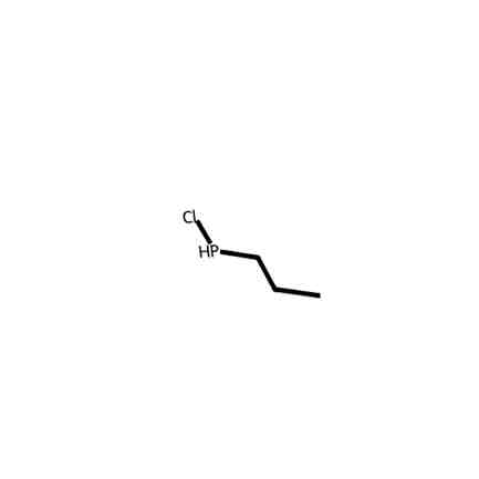 CCCPCl